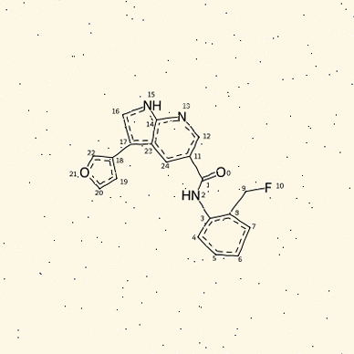 O=C(Nc1ccccc1CF)c1cnc2[nH]cc(-c3ccoc3)c2c1